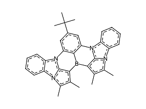 Cc1c2c3n(c4ccccc4n3c1C)-c1cc(C(C)(C)C)cc3c1B2c1c(C)c(C)n2c4ccccc4n-3c12